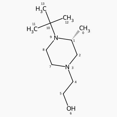 C[C@@H]1CN(CCO)CCN1C(C)(C)C